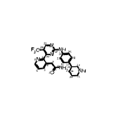 NC(=O)Cc1cccnc1-c1nc(Nc2ccc(C3CCCNC3)cc2)ncc1C(F)(F)F